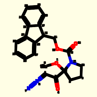 CC(C)(C)OC1(C(=O)C=[N+]=[N-])CCCN1C(=O)OCC1c2ccccc2-c2ccccc21